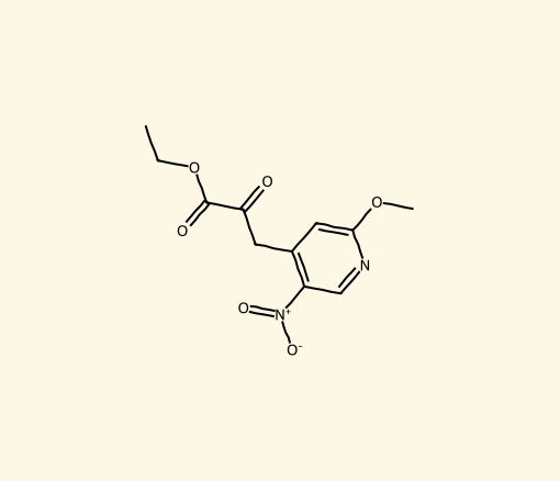 CCOC(=O)C(=O)Cc1cc(OC)ncc1[N+](=O)[O-]